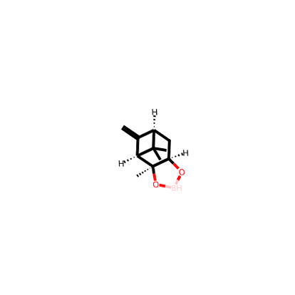 C=C1[C@H]2C[C@H]3OBO[C@@]3(C)[C@@H]1C2(C)C